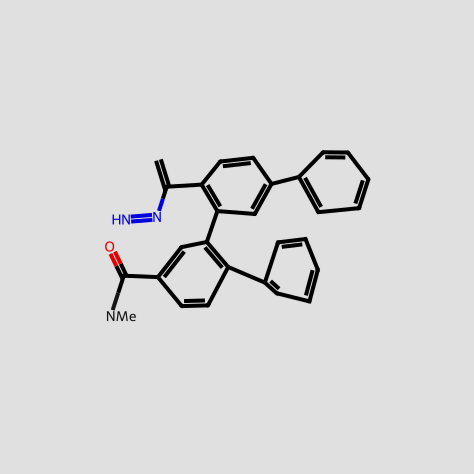 C=C(N=N)c1ccc(-c2ccccc2)cc1-c1cc(C(=O)NC)ccc1-c1ccccc1